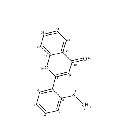 CSc1ccccc1-c1cc(=O)c2ccccc2o1